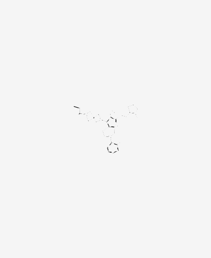 C=CC(=O)N1CC2(C1)CN(c1c(C#N)c(OCC3CCCN3C)nc3c1CCN(c1ccccc1C(F)(F)F)C3)C2